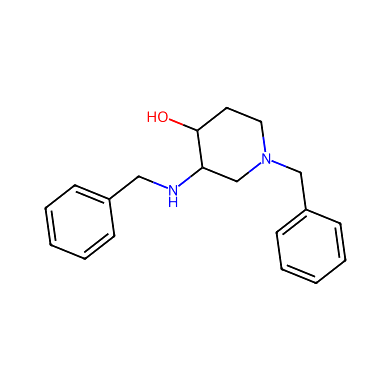 OC1CCN(Cc2ccccc2)CC1NCc1ccccc1